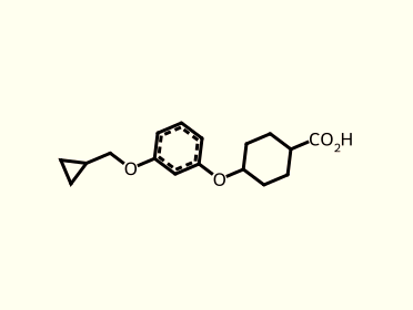 O=C(O)C1CCC(Oc2cccc(OCC3CC3)c2)CC1